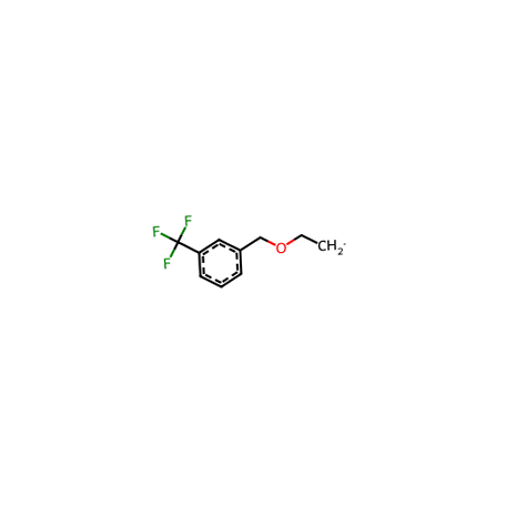 [CH2]COCc1cccc(C(F)(F)F)c1